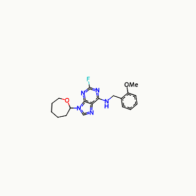 COc1ccccc1CNc1nc(F)nc2c1ncn2C1CCCCCO1